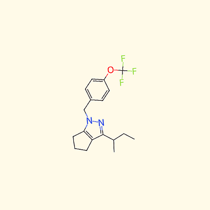 CCC(C)c1nn(Cc2ccc(OC(F)(F)F)cc2)c2c1CCC2